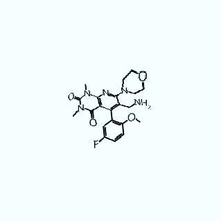 COc1ccc(F)cc1-c1c(CN)c(N2CCOCC2)nc2c1c(=O)n(C)c(=O)n2C